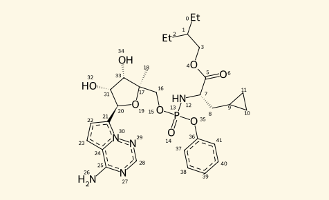 CCC(CC)COC(=O)[C@H](CC1CC1)NP(=O)(OC[C@@]1(C)O[C@@H](c2ccc3c(N)ncnn23)[C@H](O)[C@@H]1O)Oc1ccccc1